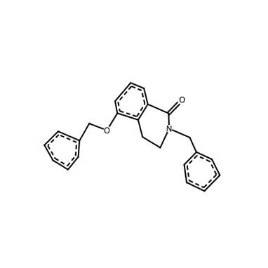 O=C1c2cccc(OCc3ccccc3)c2CCN1Cc1ccccc1